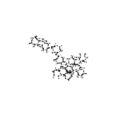 c1ccc(-c2ccccc2N(c2ccc(-c3cccc(-c4ccc5c(c4)oc4ccccc45)c3)cc2)c2ccc(-c3ccccc3-n3c4ccccc4c4ccccc43)cc2)cc1